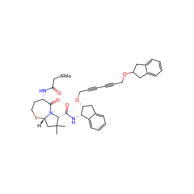 CNCC(=O)N[C@H]1CCS[C@H]2CC(C)(C)[C@@H](C(=O)N[C@H]3c4ccccc4C[C@H]3OCC#CC#CCOC3Cc4ccccc4C3)N2C1=O